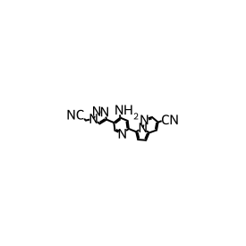 N#CCn1cc(-c2cnc(-c3ccc4cc(C#N)cnn34)cc2N)nn1